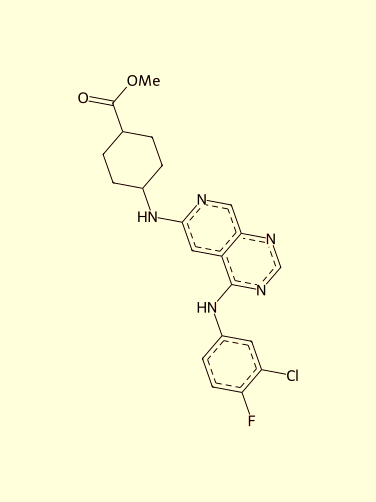 COC(=O)C1CCC(Nc2cc3c(Nc4ccc(F)c(Cl)c4)ncnc3cn2)CC1